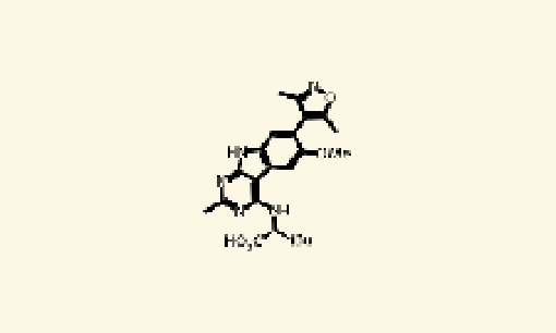 CC[C@H](C)[C@H](Nc1nc(C)nc2[nH]c3cc(-c4c(C)noc4C)c(OC)cc3c12)C(=O)O